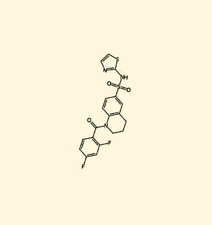 O=C(c1ccc(F)cc1F)N1CCCc2cc(S(=O)(=O)Nc3nccs3)ccc21